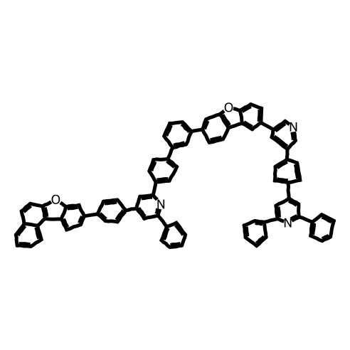 c1ccc(-c2cc(-c3ccc(-c4cncc(-c5ccc6oc7cc(-c8cccc(-c9ccc(-c%10cc(-c%11ccc(-c%12ccc%13c(c%12)oc%12ccc%14ccccc%14c%12%13)cc%11)cc(-c%11ccccc%11)n%10)cc9)c8)ccc7c6c5)c4)cc3)cc(-c3ccccc3)n2)cc1